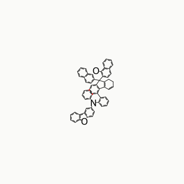 C1=CC2=C(CC1)C1(c3cccc(-c4ccccc4N(c4ccccc4)c4ccc5oc6ccccc6c5c4)c32)c2ccc3ccccc3c2Oc2c1ccc1ccccc21